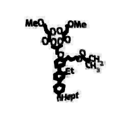 C=C(C)C(=O)OCCCc1cc(-c2ccc(C3CCC(CCCCCCC)CC3)cc2CC)ccc1OCC(COC(=O)C(=O)CCOC)COC(=O)C(=O)CCOC